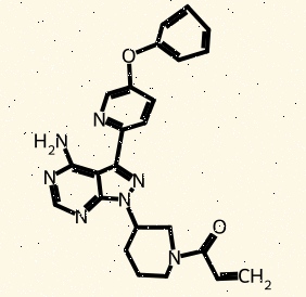 C=CC(=O)N1CCCC(n2nc(-c3ccc(Oc4ccccc4)cn3)c3c(N)ncnc32)C1